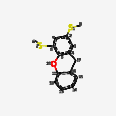 CSc1cc2c(c(SC)c1)Oc1ccccc1C2